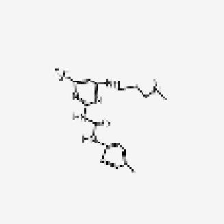 Cc1ccc(NC(=O)Nc2nc(NCCCN(C)C)cc(C(F)(F)F)n2)cc1